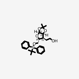 CC1(C)O[C@@H]2O[C@@H](CO[Si](c3ccccc3)(c3ccccc3)C(C)(C)C)[C@H](CCO)[C@@H]2O1